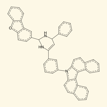 C1=C(c2cccc(-n3c4ccc5ccccc5c4c4c5ccccc5ccc43)c2)NC(c2ccc3oc4ccccc4c3c2)NC1c1ccccc1